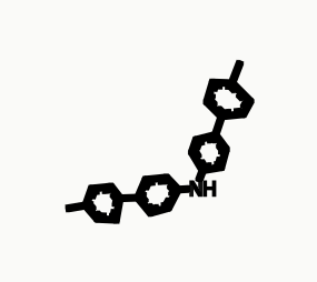 Cc1ccc(-c2ccc(Nc3ccc(-c4ccc(C)cc4)cc3)cc2)cc1